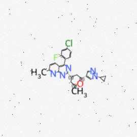 Cc1ccc2c(-c3ccc(Cl)cc3F)nc([C@H]3C[C@H](C)O[C@@H](c4cnn(C5CC5)c4)C3)nc2n1